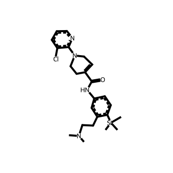 CN(C)CCc1cc(NC(=O)C2=CCN(c3ncccc3Cl)CC2)ccc1[Si](C)(C)C